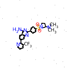 CN(C)C1CCN(S(=O)(=O)c2ccc(-c3nc(N)c4ccc(-c5ncccc5C(F)(F)F)cc4n3)cc2)C1